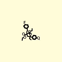 CCOC(=O)C(CCc1ccc(F)cc1)(CC(C)(CC)c1ccc(OC)cc1)C(=O)OCC